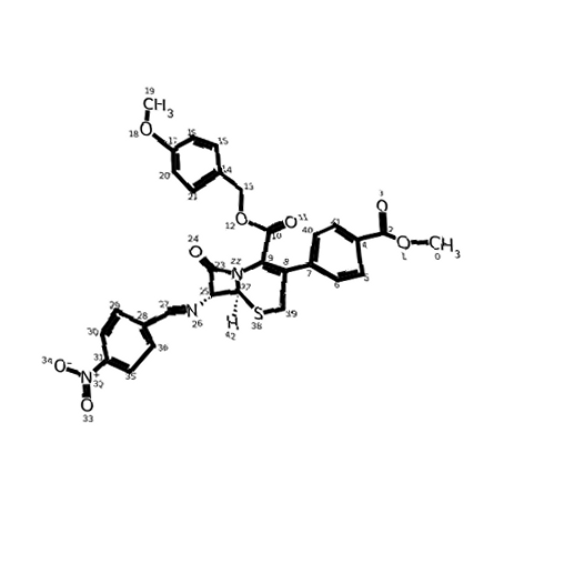 COC(=O)c1ccc(C2=C(C(=O)OCc3ccc(OC)cc3)N3C(=O)[C@@H](N=Cc4ccc([N+](=O)[O-])cc4)[C@@H]3SC2)cc1